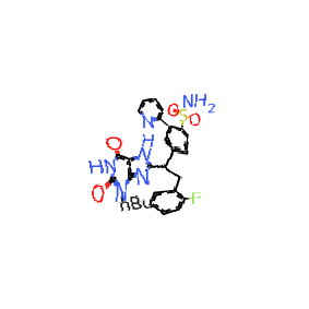 CCCCn1c(=O)[nH]c(=O)c2[nH]c(C(Cc3ccccc3F)c3ccc(S(N)(=O)=O)c(-c4ccccn4)c3)nc21